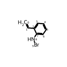 C=Cc1ccccc1NBr